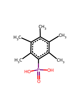 Cc1c(C)c(C)c(P(=O)(O)O)c(C)c1C